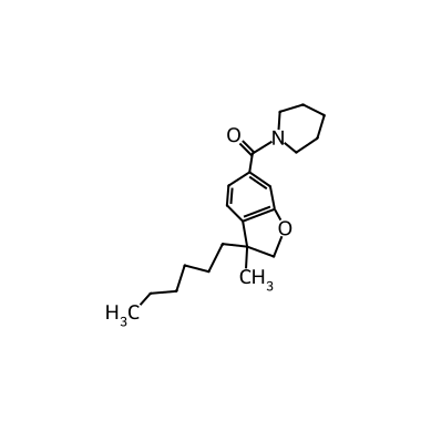 CCCCCCC1(C)COc2cc(C(=O)N3CCCCC3)ccc21